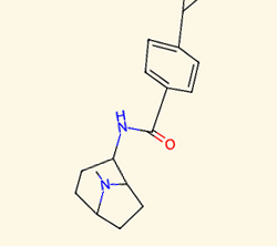 CN1C2CCC(NC(=O)c3ccc(C4CC4)cc3)C1CC2